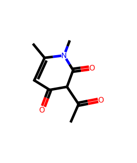 CC(=O)C1C(=O)C=C(C)N(C)C1=O